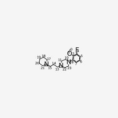 COc1c(F)cccc1N1CCN(CCCN2CCCCC2)CC1